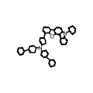 C1=CC2c3ccc4c(c3OC2C(C2=CC=C(N(c3ccc(-c5ccccc5)cc3)C3C=CC(c5ccccc5)=CC3)CC2)=C1)c1ccccc1n4-c1ccccc1